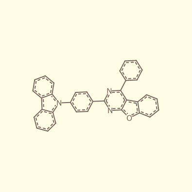 c1ccc(-c2nc(-c3ccc(-n4c5ccccc5c5ccccc54)cc3)nc3oc4ccccc4c23)cc1